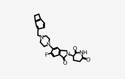 O=C1CCC(N2Cc3cc(N4CCN(Cc5ccc6c(c5)CC6)CC4)c(F)cc3C2=O)C(=O)N1